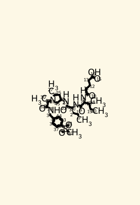 CCC[C@H](NC(=O)[C@@H](NC(=O)CCCC(=O)O)[C@@H](C)CC)C(=O)N[C@H]1CC(C)N([C@@H](C)C(=O)NCc2ccc(S(C)(=O)=O)cc2)C1